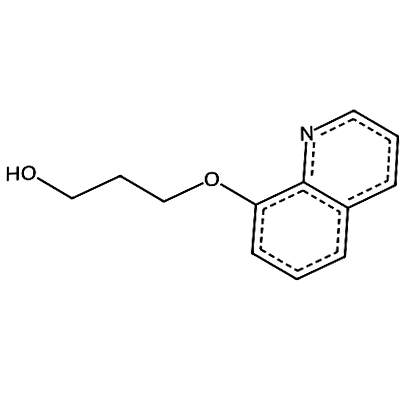 OCCCOc1cccc2cccnc12